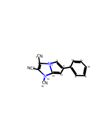 N#Cc1c(C#N)n2cc(-c3ccccc3)cc2n1C#N